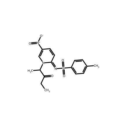 CCC(=O)C(C)n1cc([N+](=O)[O-])ccc1=NS(=O)(=O)c1ccc(C)cc1